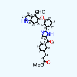 COC(=O)CCc1cccc(C(=O)c2cnc(-c3cccc(Oc4ccc5[nH]ccc5c4C=O)c3)[nH]2)c1